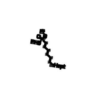 CCCCCCCC=CC=CC=CP(=O)(OCC)OCC